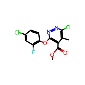 COC(=O)c1c(Oc2ccc(Cl)cc2F)nnc(Cl)c1C